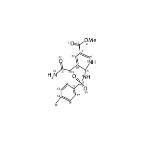 COC(=O)C1=CNC(NS(=O)(=O)c2ccc(C)cc2)C(CC(N)=O)=C1